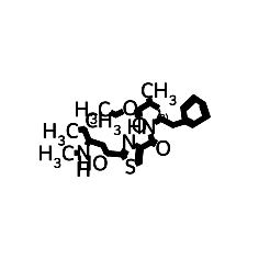 CCOC(=O)C(C)C[C@H](Cc1ccccc1)NC(=O)c1csc(C(O)CC(NC)C(C)C)n1